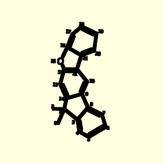 CC1(C)c2ccccc2-c2cc3c(cc21)oc1ccccc13